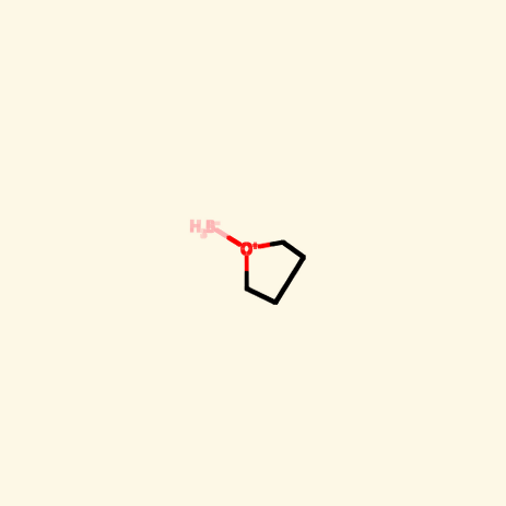 [BH3-][O+]1CCCC1